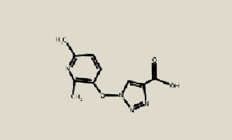 Cc1ccc(On2cc(C(=O)O)nn2)c(C)n1